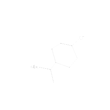 CCCCC(C)C1CCC(C(F)(F)F)CC1